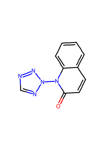 O=c1ccc2ccccc2n1-n1ncnn1